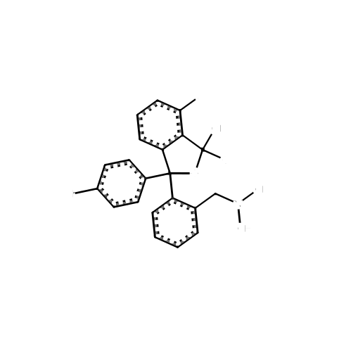 CN(C)Cc1ccccc1C1(c2ccc(Cl)cc2)OC(C)(O)c2c(Cl)cccc21